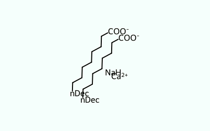 CCCCCCCCCCCCCCCCCC(=O)[O-].CCCCCCCCCCCCCCCCCC(=O)[O-].[Ca+2].[NaH]